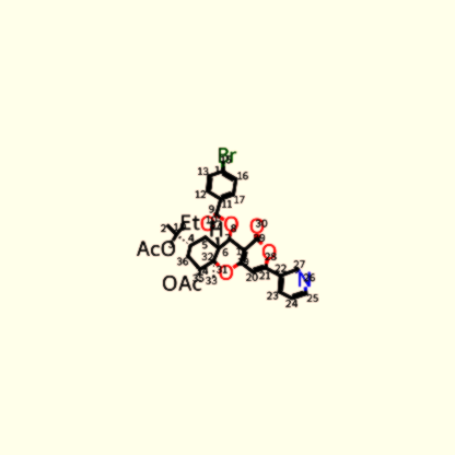 CCC(C)(OC(C)=O)[C@@H]1C[C@@H]2[C@@H](OC(=O)c3ccc(Br)cc3)c3c(cc(-c4cccnc4)oc3=O)O[C@@]2(C)[C@H](OC(C)=O)C1